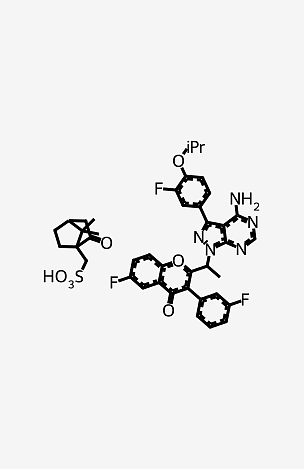 CC(C)Oc1ccc(-c2nn(C(C)c3oc4ccc(F)cc4c(=O)c3-c3cccc(F)c3)c3ncnc(N)c23)cc1F.CC1(C)C2CCC1(CS(=O)(=O)O)C(=O)C2